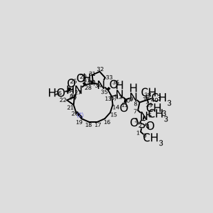 CCS(=O)(=O)N(C)CC(NC(=O)N[C@H]1CCCCC/C=C\C2C[C@@]2(C(=O)O)NC(=O)[C@@H]2CCCN2C1=O)C(C)(C)C